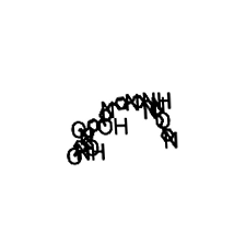 CN1CCC(COc2cnc(NC3CCN(c4ccc(CN5CCC(O)(c6ccc7c(c6)CN(C6CCC(=O)NC6=O)C7=O)CC5)cc4)CC3)nc2)CC1